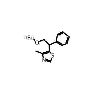 CCCCOCC(c1ccccc1)c1scnc1C